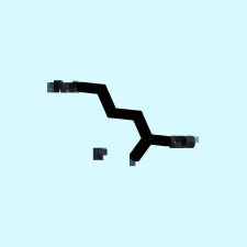 CCCCCCCCC(I)C(=O)[O-].[K+]